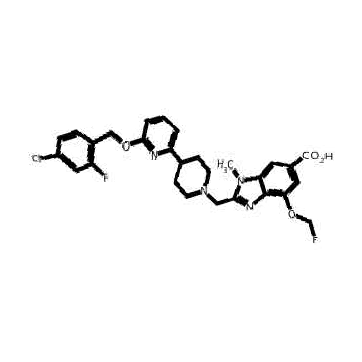 Cn1c(CN2CCC(c3cccc(OCc4ccc(Cl)cc4F)n3)CC2)nc2c(OCF)cc(C(=O)O)cc21